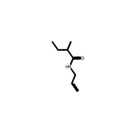 C=CCNC(=O)C(C)CC